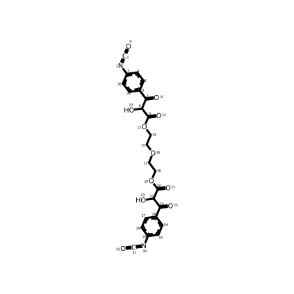 O=C=Nc1ccc(C(=O)C(O)C(=O)OCCOCCOC(=O)C(O)C(=O)c2ccc(N=C=O)cc2)cc1